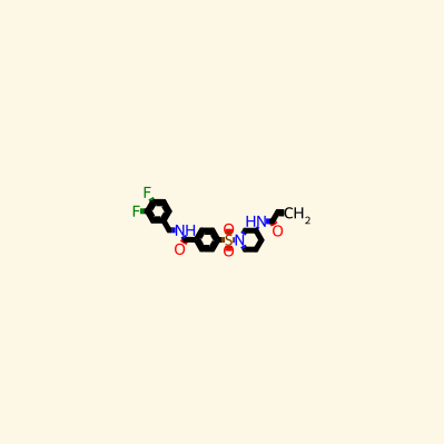 C=CC(=O)N[C@H]1CCCN(S(=O)(=O)c2ccc(C(=O)NCc3ccc(F)c(F)c3)cc2)C1